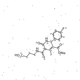 COC(=O)C1=C(C)N(C(=O)NCCCC(=O)O)C(=O)NC1c1ccc(F)cc1